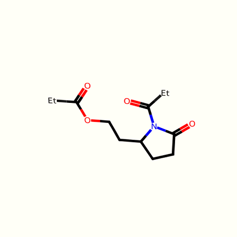 CCC(=O)OCCC1CCC(=O)N1C(=O)CC